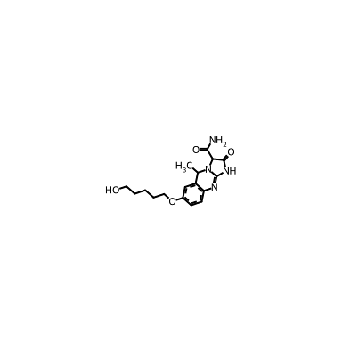 CC1c2cc(OCCCCCO)ccc2N=C2NC(=O)C(C(N)=O)N21